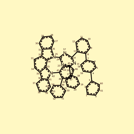 c1ccc(-c2ccc(-c3ccccc3-c3nc(-c4ccccc4)nc(-n4c5ccccc5c5ccc6c7ccccc7n(-c7ccccc7-c7ccccc7)c6c54)n3)cc2)cc1